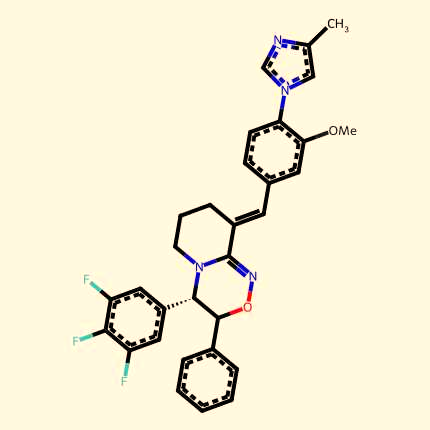 COc1cc(/C=C2\CCCN3C2=NOC(c2ccccc2)[C@@H]3c2cc(F)c(F)c(F)c2)ccc1-n1cnc(C)c1